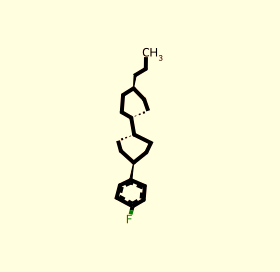 CCC[C@H]1CC[C@H]([C@H]2CC[C@H](c3ccc(F)cc3)CC2)CC1